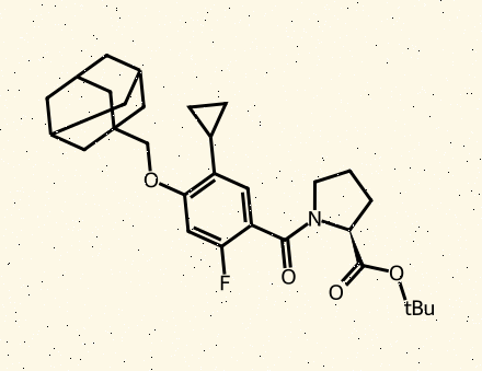 CC(C)(C)OC(=O)[C@@H]1CCCN1C(=O)c1cc(C2CC2)c(OCC23CC4CC(CC(C4)C2)C3)cc1F